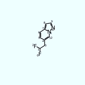 FC(F)Cc1ccc2ccnn2c1